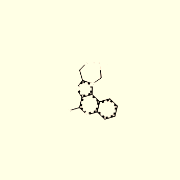 CC(C)Cn1c(CN(C)O)nc2c(N)nc3ccccc3c21